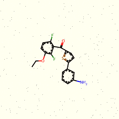 CCOc1ccc(F)c(C(=O)c2ccc(-c3cccc(N)c3)s2)c1F